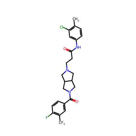 Cc1ccc(NC(=O)CCN2CC3CN(C(=O)c4ccc(F)c(C(F)(F)F)c4)CC3C2)cc1Cl